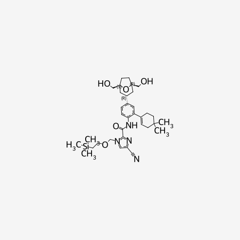 CC1(C)CC=C(c2cc([C@@H]3C[C@]4(CO)CC[C@](CO)(C3)O4)ccc2NC(=O)c2nc(C#N)cn2COCC[Si](C)(C)C)CC1